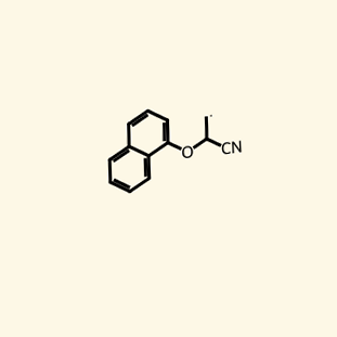 [CH2]C(C#N)Oc1cccc2ccccc12